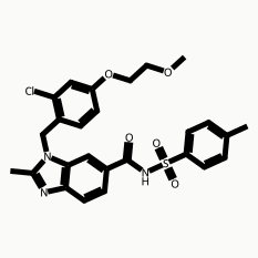 COCCOc1ccc(Cn2c(C)nc3ccc(C(=O)NS(=O)(=O)c4ccc(C)cc4)cc32)c(Cl)c1